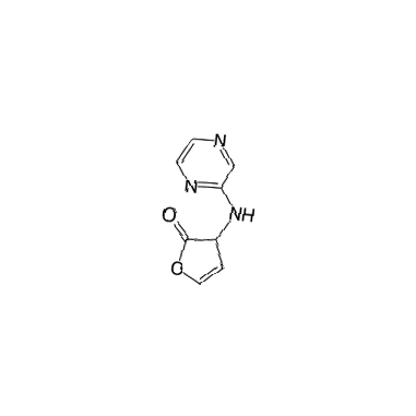 O=C1OC=CC1Nc1cnccn1